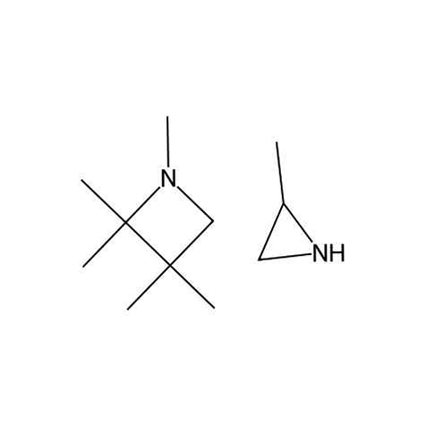 CC1CN1.CN1CC(C)(C)C1(C)C